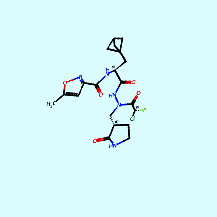 Cc1cc(C(=O)N[C@@H](CC23CC(C2)C3)C(=O)NN(C[C@@H]2CCNC2=O)C(=O)[C@H](F)Cl)no1